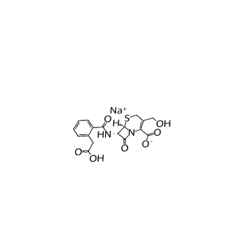 O=C(O)Cc1ccccc1C(=O)N[C@H]1C(=O)N2C(C(=O)[O-])=C(CO)CS[C@@H]12.[Na+]